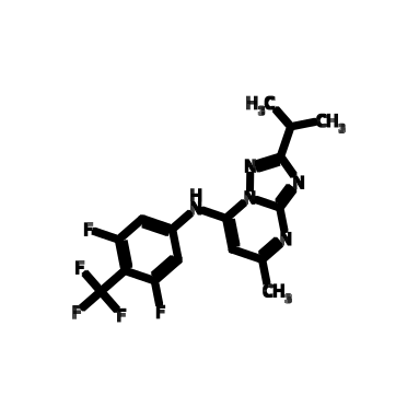 Cc1cc(Nc2cc(F)c(C(F)(F)F)c(F)c2)n2nc(C(C)C)nc2n1